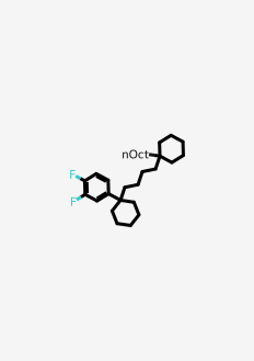 CCCCCCCCC1(CCCCC2(c3ccc(F)c(F)c3)CCCCC2)CCCCC1